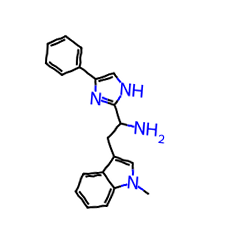 Cn1cc(CC(N)c2nc(-c3ccccc3)c[nH]2)c2ccccc21